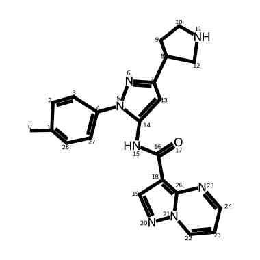 Cc1ccc(-n2nc(C3CCNC3)cc2NC(=O)c2cnn3cccnc23)cc1